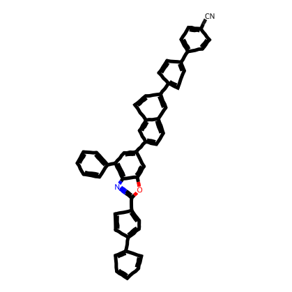 N#Cc1ccc(-c2ccc(-c3ccc4cc(-c5cc(-c6ccccc6)c6nc(-c7ccc(-c8ccccc8)cc7)oc6c5)ccc4c3)cc2)cc1